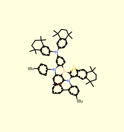 Cc1cc2c3c(c1)N(c1ccc(C(C)(C)C)cc1-c1ccccc1)c1c(sc4cc5c(cc14)C(C)(C)CCC5(C)C)B3c1ccc(N(c3ccc4c(c3)C(C)(C)CCC4(C)C)c3ccc4c(c3)C(C)(C)CCC4(C)C)cc1N2c1ccc(C(C)(C)C)cc1